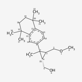 COCC1[C@H](CO)C1(C)c1ccc2c(c1)C(C)(C)CCC2(C)C